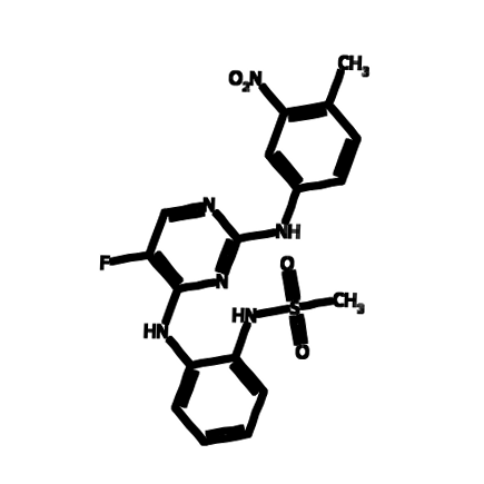 Cc1ccc(Nc2ncc(F)c(Nc3ccccc3NS(C)(=O)=O)n2)cc1[N+](=O)[O-]